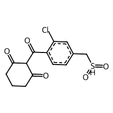 O=C1CCCC(=O)C1C(=O)c1ccc(C[SH](=O)=O)cc1Cl